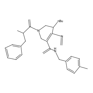 C=NC1=C(C(=C)NCc2ccc(C)cc2)CN(C(=C)C(C)Cc2ccccc2)CC1CCCC